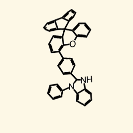 c1ccc(N2c3ccccc3NC2c2ccc(-c3cccc4c3Oc3ccccc3C43c4ccccc4-c4ccccc43)cc2)cc1